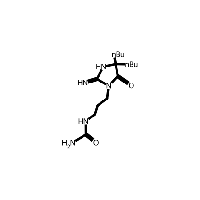 CCCCC1(CCCC)NC(=N)N(CCCNC(N)=O)C1=O